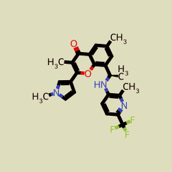 Cc1cc([C@@H](C)Nc2ccc(C(F)(F)F)nc2C)c2oc(-c3ccn(C)c3)c(C)c(=O)c2c1